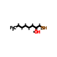 OC(CS)CCCCCC(F)(F)F